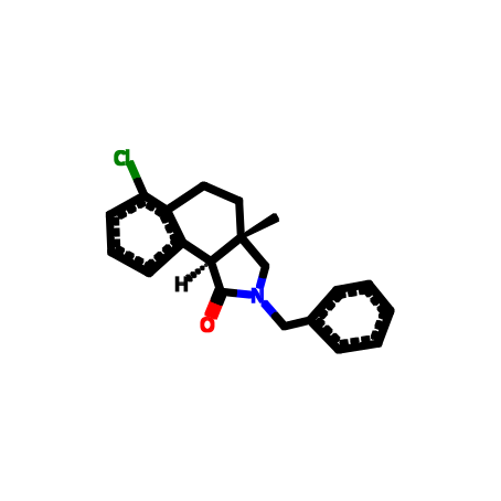 C[C@]12CCc3c(Cl)cccc3[C@@H]1C(=O)N(Cc1ccccc1)C2